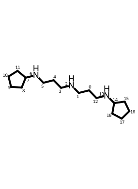 C(CNCCCNC1CCCC1)CNC1CCCC1